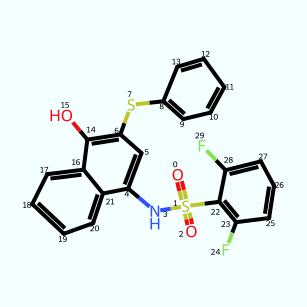 O=S(=O)(Nc1cc(Sc2ccccc2)c(O)c2ccccc12)c1c(F)cccc1F